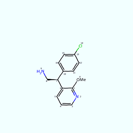 COc1ncccc1[C@@H](CN)c1ccc(Cl)cc1